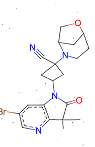 CC1(C)C(=O)N(C2CC(C#N)(N3CCC4CC3CO4)C2)c2cc(Br)cnc21